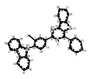 Cc1cc(-c2nc(-c3ccccc3)c3sc4ccccc4c3n2)ccc1-n1c2ccccc2c2ccccc21